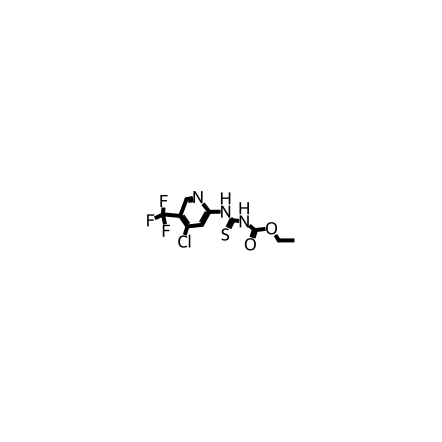 CCOC(=O)NC(=S)Nc1cc(Cl)c(C(F)(F)F)cn1